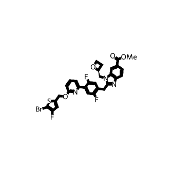 COC(=O)c1ccc2nc(Cc3cc(F)c(-c4cccc(OCc5cc(F)c(Br)s5)n4)cc3F)n(C[C@@H]3CCO3)c2c1